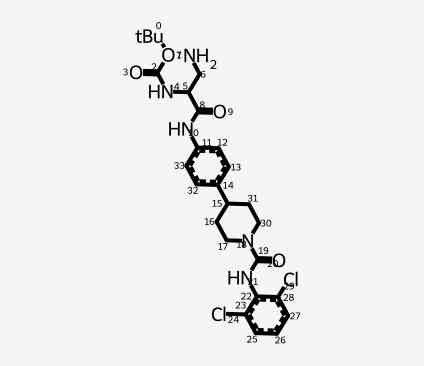 CC(C)(C)OC(=O)NC(CN)C(=O)Nc1ccc(C2CCN(C(=O)Nc3c(Cl)cccc3Cl)CC2)cc1